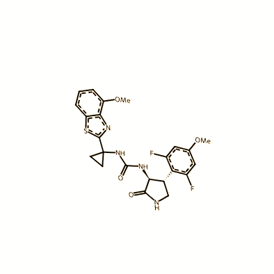 COc1cc(F)c([C@@H]2CNC(=O)[C@H]2NC(=O)NC2(c3nc4c(OC)cccc4s3)CC2)c(F)c1